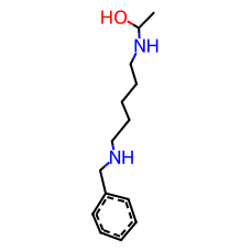 CC(O)NCCCCCNCc1ccccc1